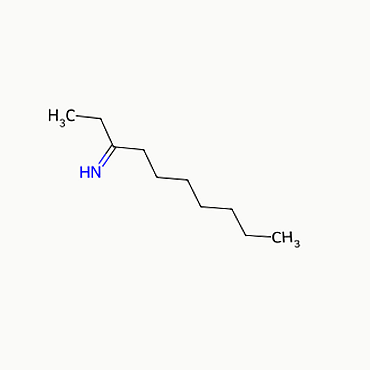 CCCCCCCC(=N)CC